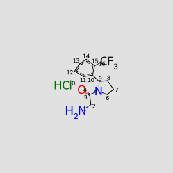 Cl.NCC(=O)N1CCCC1c1ccccc1C(F)(F)F